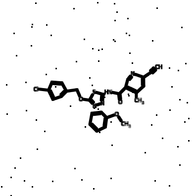 C#Cc1cc(C)c(C(=O)Nc2nnc(OCc3ccc(Cl)cc3)s2)cn1.COc1ccccc1